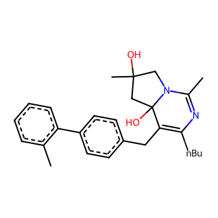 CCCCC1=C(Cc2ccc(-c3ccccc3C)cc2)C2(O)CC(C)(O)CN2C(C)=N1